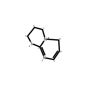 C1=CN=C2SCCCN2C1